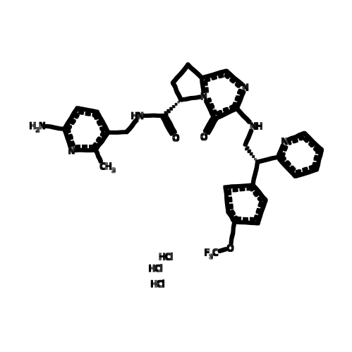 Cc1nc(N)ccc1CNC(=O)[C@@H]1CCc2cnc(NC[C@@H](c3ccc(OC(F)(F)F)cc3)c3ccccn3)c(=O)n21.Cl.Cl.Cl